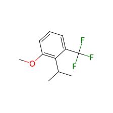 COc1cccc(C(F)(F)F)c1C(C)C